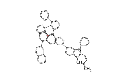 C=C/C=C\c1c(C)c2ccc(-c3ccc(N(c4cccc(-c5ccc6ccccc6c5)c4)c4cccc(-c5ccccc5)c4-c4ccccc4-c4ccccc4)cc3)cc2n1-c1ccccc1